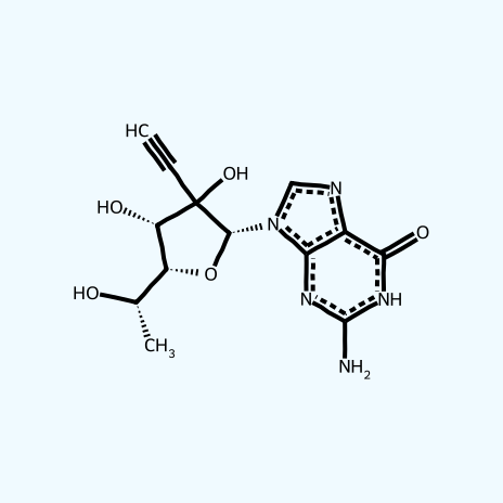 C#CC1(O)[C@@H](O)[C@@H]([C@H](C)O)O[C@H]1n1cnc2c(=O)[nH]c(N)nc21